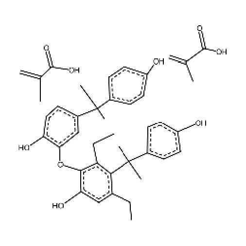 C=C(C)C(=O)O.C=C(C)C(=O)O.CCc1cc(O)c(Oc2cc(C(C)(C)c3ccc(O)cc3)ccc2O)c(CC)c1C(C)(C)c1ccc(O)cc1